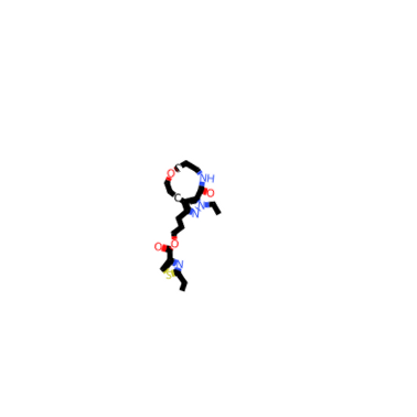 CCc1nc(C(=O)OCCCc2nn(CC)c3c2CCCOCCCNC3=O)cs1